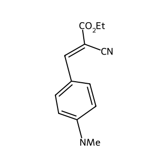 CCOC(=O)/C(C#N)=C/c1ccc(NC)cc1